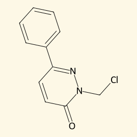 O=c1ccc(-c2ccccc2)nn1CCl